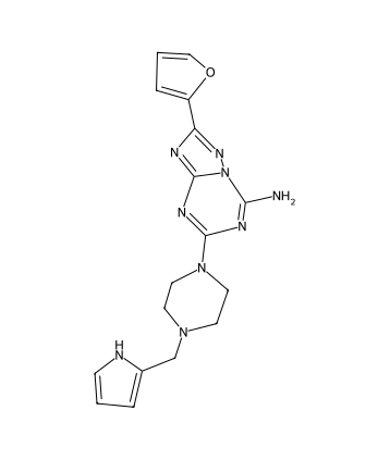 Nc1nc(N2CCN(Cc3ccc[nH]3)CC2)nc2nc(-c3ccco3)nn12